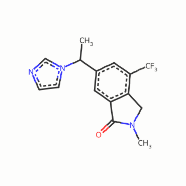 CC(c1cc2c(c(C(F)(F)F)c1)CN(C)C2=O)n1ccnc1